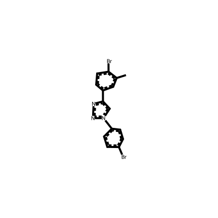 Cc1cc(-c2cn(-c3ccc(Br)cc3)nn2)ccc1Br